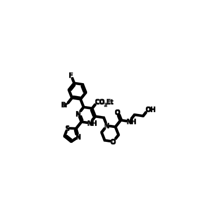 CCOC(=O)C1=C(CN2CCOCC2C(=O)NCCO)NC(c2nccs2)=NC1c1ccc(F)cc1Br